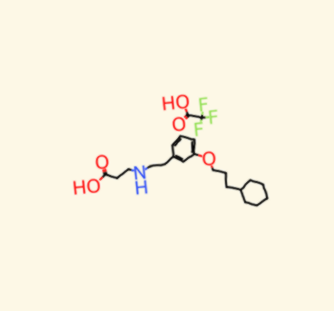 O=C(O)C(F)(F)F.O=C(O)CCNCCc1cccc(OCCCC2CCCCC2)c1